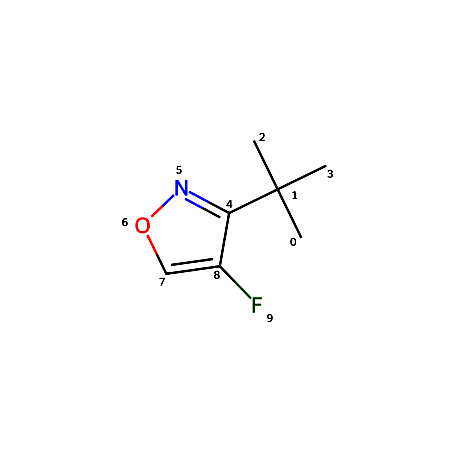 CC(C)(C)c1nocc1F